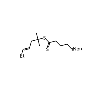 CCC=CCC(C)(C)SC(=S)CCCCCCCCCCCC